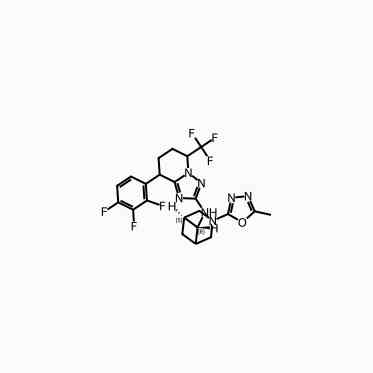 Cc1nnc(N2CC3C[C@@H](C2)[C@@H]3Nc2nc3n(n2)C(C(F)(F)F)CCC3c2ccc(F)c(F)c2F)o1